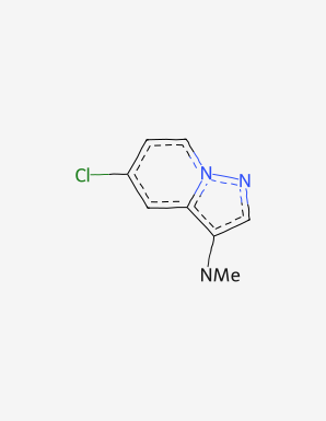 CNc1cnn2ccc(Cl)cc12